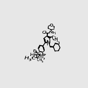 Cc1c(C(=O)NC2CCOCC2)cc(-c2ccc(S(=O)(=O)NC(C)(C)C)c(Br)c2)n1CC1CCCCC1